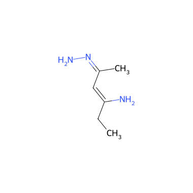 CC/C(N)=C/C(C)=N\N